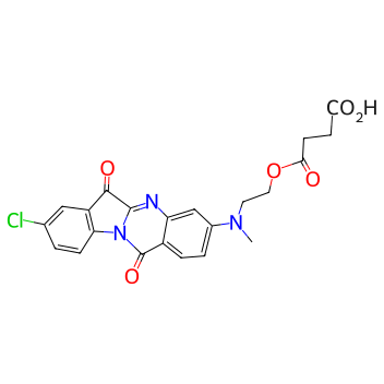 CN(CCOC(=O)CCC(=O)O)c1ccc2c(=O)n3c(nc2c1)C(=O)c1cc(Cl)ccc1-3